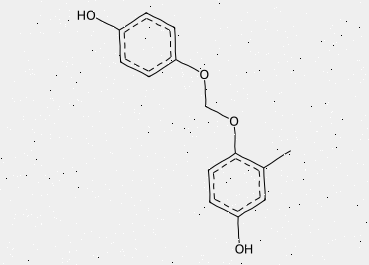 Cc1cc(O)ccc1OCOc1ccc(O)cc1